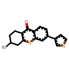 CCC1CCc2c(sc3cc(-c4ccsc4)ccc3c2=O)C1